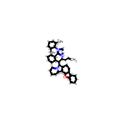 C=CCC1C(C2c3ccc4c(oc5ccccc54)c3-c3cccc[n+]32)c2ccccc2-c2n(-c3c(CCC)cccc3CCC)cc[n+]21